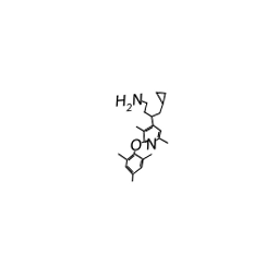 Cc1cc(C)c(Oc2nc(C)cc(C(CCN)CC3CC3)c2C)c(C)c1